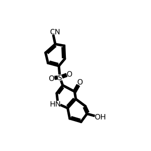 N#Cc1ccc(S(=O)(=O)c2c[nH]c3ccc(O)cc3c2=O)cc1